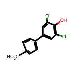 O=C(O)c1ccc(-c2cc(Cl)c(O)c(Cl)c2)cc1